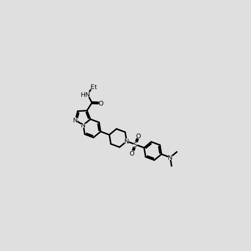 CCNC(=O)c1cnn2ccc(C3CCN(S(=O)(=O)c4ccc(N(C)C)cc4)CC3)cc12